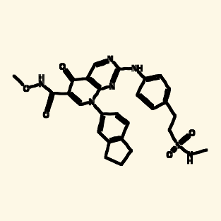 CNS(=O)(=O)CCc1ccc(Nc2ncc3c(=O)c(C(=O)NOC)cn(-c4ccc5c(c4)CCC5)c3n2)cc1